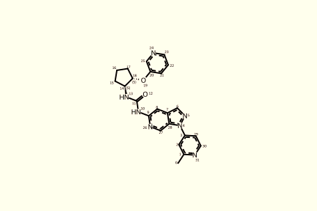 Cc1cc(-n2ncc3cc(NC(=O)N[C@H]4CCC[C@@H]4Oc4cccnc4)ncc32)ccn1